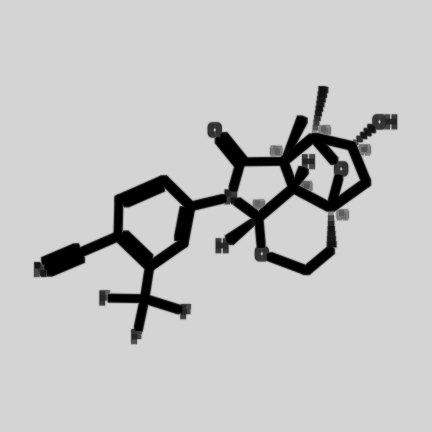 C[C@@]12C(=O)N(c3ccc(C#N)c(C(F)(F)F)c3)[C@H]3OCC[C@]4(C[C@@H](O)[C@@]1(C)O4)[C@H]32